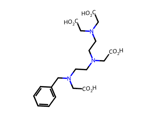 O=C(O)CN(CCN(CC(=O)O)CC(=O)O)CCN(CC(=O)O)Cc1ccccc1